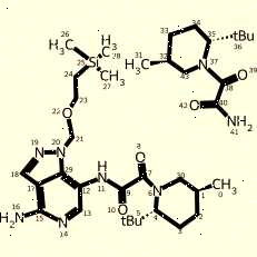 C[C@H]1CC[C@H](C(C)(C)C)N(C(=O)C(=O)Nc2cnc(N)c3cnn(COCC[Si](C)(C)C)c23)C1.C[C@H]1CC[C@H](C(C)(C)C)N(C(=O)C(N)=O)C1